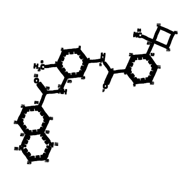 Cc1ccc(NC(=O)c2cccc(C3(C#N)CCC3)c2)cc1NC(=O)c1ccc2nccnc2c1